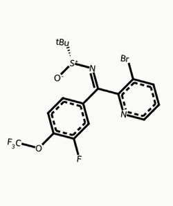 CC(C)(C)[S@@+]([O-])/N=C(\c1ccc(OC(F)(F)F)c(F)c1)c1ncccc1Br